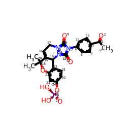 CC(=O)c1ccc(-n2c(=O)n3n(c2=O)C2C(=CC3)C(C)(C)Oc3cc(OP(=O)(O)O)ccc32)cc1